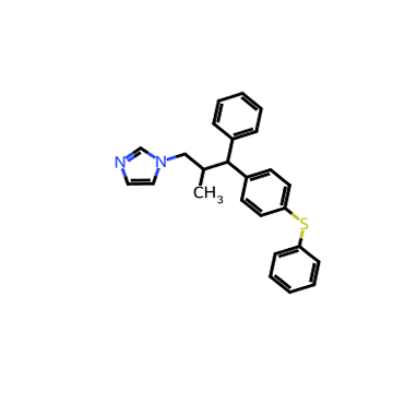 CC(Cn1ccnc1)C(c1ccccc1)c1ccc(Sc2ccccc2)cc1